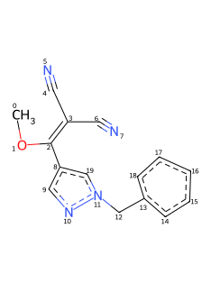 COC(=C(C#N)C#N)c1cnn(Cc2ccccc2)c1